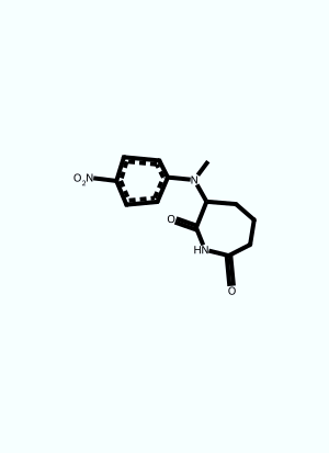 CN(c1ccc([N+](=O)[O-])cc1)C1CCCC(=O)NC1=O